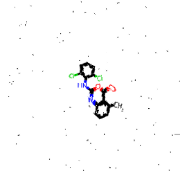 Cc1cccc2nc(Nc3c(Cl)cccc3Cl)oc(=O)c12